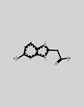 Nc1ccc2oc(CC(=O)O)nc2c1